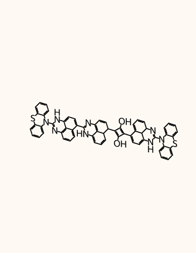 OC1=C(C2=CC=C3NC(N4c5ccccc5Sc5ccccc54)=NC4C=CC=C2C34)C(O)=C1C1C=CC2=C3C(=CC=CC31)NC(c1ccc3c4c(cccc14)N=C(N1c4ccccc4Sc4ccccc41)N3)=N2